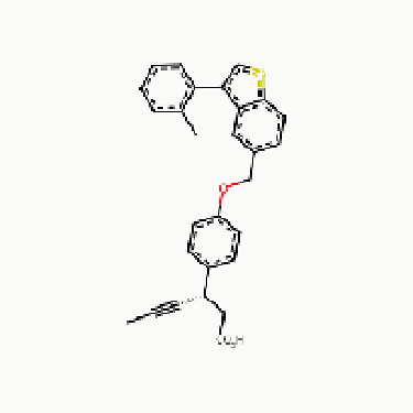 CC#C[C@@H](CC(=O)O)c1ccc(OCc2ccc3scc(-c4ccccc4C)c3c2)cc1